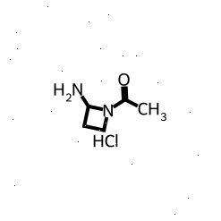 CC(=O)N1CCC1N.Cl